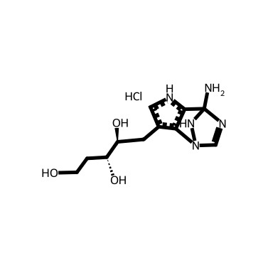 Cl.NC12N=CN(N1)c1c(C[C@H](O)[C@H](O)CCO)c[nH]c12